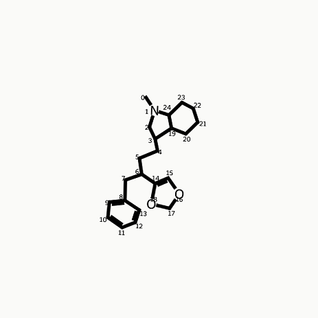 CN1CC(CCC(Cc2ccccc2)C2=COCO2)C2CCCCC21